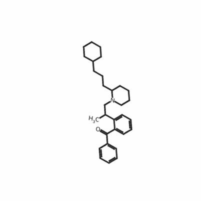 CC(CN1CCCCC1CCCC1CCCCC1)c1ccccc1C(=O)c1ccccc1